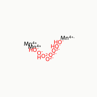 [Mn+4].[Mn+4].[Mn+4].[O-2].[O-2].[O-2].[O-2].[OH-].[OH-].[OH-].[OH-]